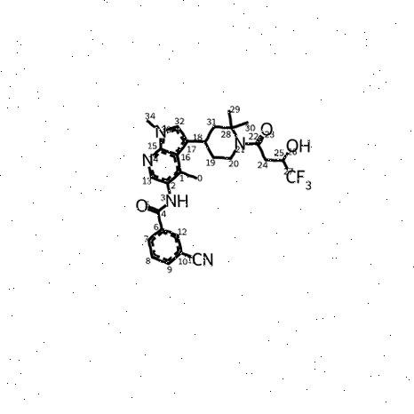 Cc1c(NC(=O)c2cccc(C#N)c2)cnc2c1c(C1CCN(C(=O)CC(O)C(F)(F)F)C(C)(C)C1)cn2C